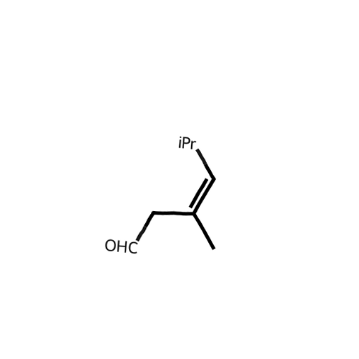 CC(=CC(C)C)CC=O